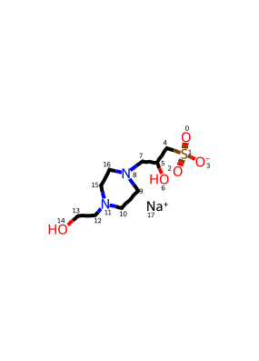 O=S(=O)([O-])CC(O)CN1CCN(CCO)CC1.[Na+]